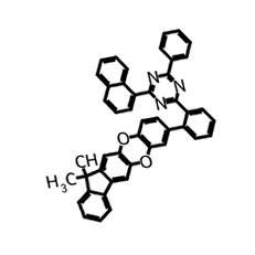 CC1(C)c2ccccc2-c2cc3c(cc21)Oc1ccc(-c2ccccc2-c2nc(-c4ccccc4)nc(-c4cccc5ccccc45)n2)cc1O3